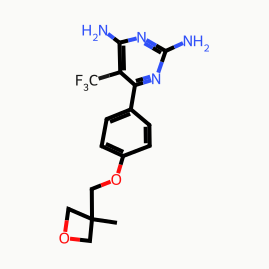 CC1(COc2ccc(-c3nc(N)nc(N)c3C(F)(F)F)cc2)COC1